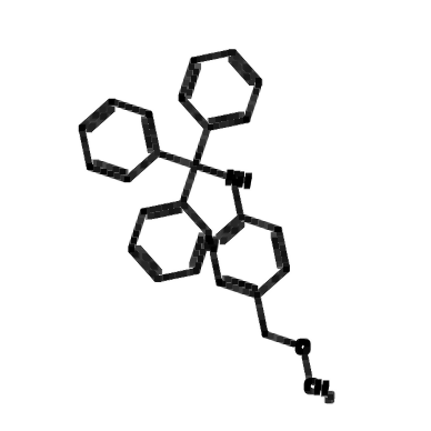 COCc1ccc(NC(c2ccccc2)(c2ccccc2)c2ccccc2)nc1